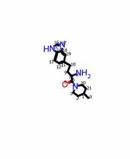 CC1CCN(C(=O)C(N)CCc2ccc3[nH]cnc3c2)CC1